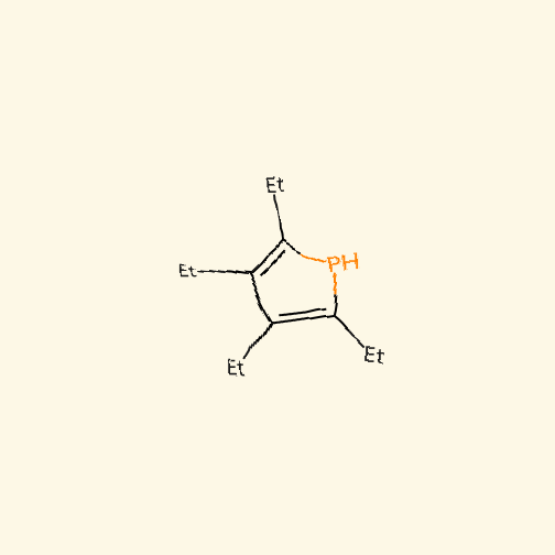 CCc1[pH]c(CC)c(CC)c1CC